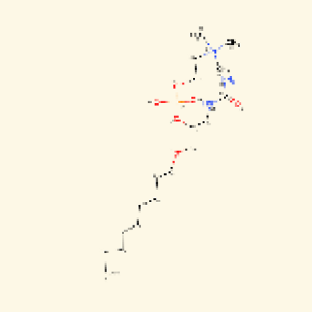 CCCCCCCCCCCCCCCCCCOCC(CNC(N)=O)OP(=O)([O-])OCC[N+](C)(C)C